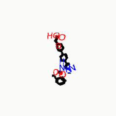 CC(OC(=O)Nc1c(-c2ccc(C34CCC(CC(=O)O)(CC3)OC4)cc2)cnn1C)c1ccccc1